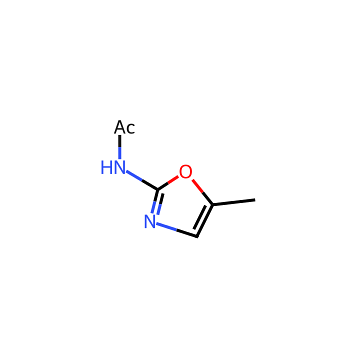 CC(=O)Nc1ncc(C)o1